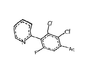 CC(=O)c1cc(F)c(-c2ccccn2)c(Cl)c1Cl